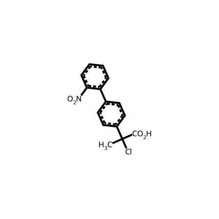 CC(Cl)(C(=O)O)c1ccc(-c2ccccc2[N+](=O)[O-])cc1